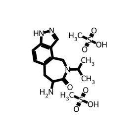 CC(C)N1Cc2c(ccc3[nH]ncc23)CC(N)C1=O.CS(=O)(=O)O.CS(=O)(=O)O